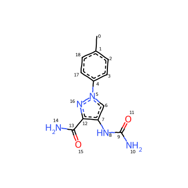 Cc1ccc(-n2cc(NC(N)=O)c(C(N)=O)n2)cc1